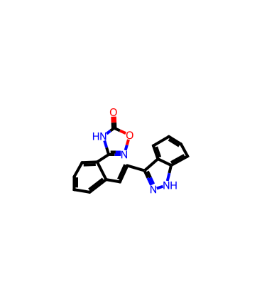 O=c1[nH]c(-c2ccccc2/C=C/c2n[nH]c3ccccc23)no1